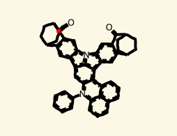 O=C1c2cc3c(cc2C2CCC1CC2)c1cc2c(c4cccc5cccc(c54)n2-c2ccccc2)c2c4cc5c(cc4n3c12)C(=O)C1CCC5CC1